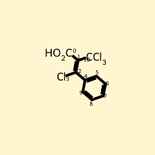 O=C(O)C(=C(Cl)c1ccccc1)C(Cl)(Cl)Cl